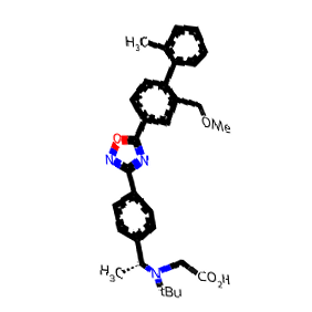 COCc1cc(-c2nc(-c3ccc([C@@H](C)N(CC(=O)O)C(C)(C)C)cc3)no2)ccc1-c1ccccc1C